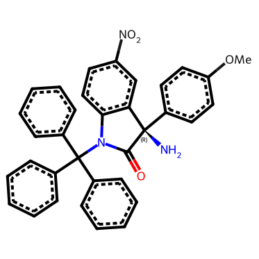 COc1ccc([C@]2(N)C(=O)N(C(c3ccccc3)(c3ccccc3)c3ccccc3)c3ccc([N+](=O)[O-])cc32)cc1